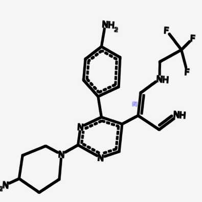 N=C/C(=C\NCC(F)(F)F)c1cnc(N2CCC(N)CC2)nc1-c1ccc(N)cc1